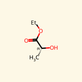 CCOC(=O)[C@@H](C)O